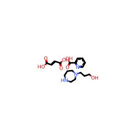 O=C(O)C=CC(=O)O.O=C(O)c1ccccn1.OCCCN1CCCNCC1